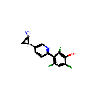 N[C@H]1C[C@@H]1c1ccc(-c2c(F)cc(F)c(O)c2F)nc1